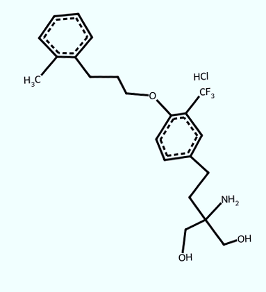 Cc1ccccc1CCCOc1ccc(CCC(N)(CO)CO)cc1C(F)(F)F.Cl